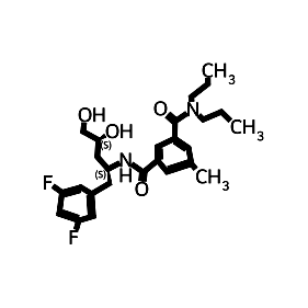 CCCN(CCC)C(=O)c1cc(C)cc(C(=O)N[C@@H](Cc2cc(F)cc(F)c2)C[C@H](O)CO)c1